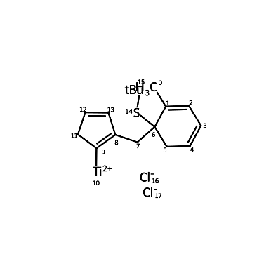 CC1=CC=CCC1(CC1=[C]([Ti+2])CC=C1)SC(C)(C)C.[Cl-].[Cl-]